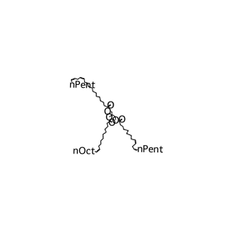 CCCCC/C=C\C/C=C\CCCCCCCCCCCC(=O)OC[C@@H](COC(=O)CCCCCCC/C=C\C/C=C\CCCCC)OC(=O)CCCCCCCCC/C=C\CCCCCCCC